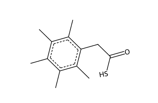 Cc1c(C)c(C)c(CC(=O)S)c(C)c1C